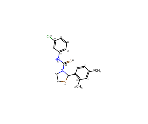 Cc1ccc(C2SCCN2C(=S)Nc2cccc(Cl)c2)c(C)c1